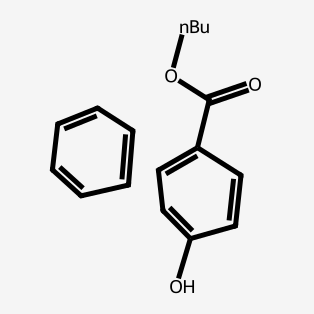 CCCCOC(=O)c1ccc(O)cc1.c1ccccc1